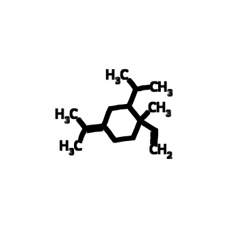 C=CC1(C)CCC(=C(C)C)CC1C(C)C